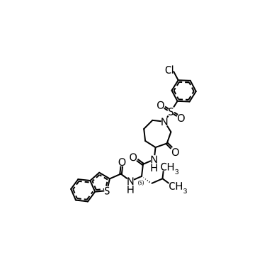 CC(C)C[C@H](NC(=O)c1cc2ccccc2s1)C(=O)NC1CCCN(S(=O)(=O)c2cccc(Cl)c2)CC1=O